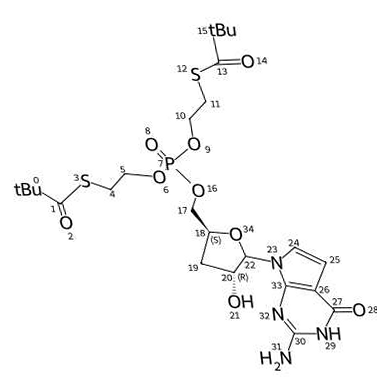 CC(C)(C)C(=O)SCCOP(=O)(OCCSC(=O)C(C)(C)C)OC[C@@H]1C[C@@H](O)C(n2ccc3c(=O)[nH]c(N)nc32)O1